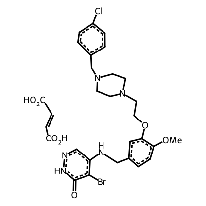 COc1ccc(CNc2cn[nH]c(=O)c2Br)cc1OCCN1CCN(Cc2ccc(Cl)cc2)CC1.O=C(O)/C=C/C(=O)O